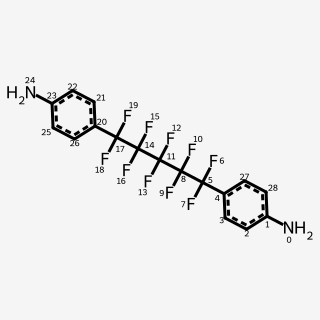 Nc1ccc(C(F)(F)C(F)(F)C(F)(F)C(F)(F)C(F)(F)c2ccc(N)cc2)cc1